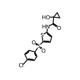 O=C(Nc1ccc(S(=O)(=O)c2ccc(Cl)cc2)s1)C1(O)CC1